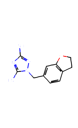 Nc1nc(N)n(Cc2ccc3c(c2)OCC3)n1